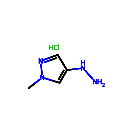 Cl.Cn1cc(NN)cn1